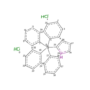 Cl.Cl.c1cc[c]([Ti]([c]2ccccc2)([c]2ccccc2)([c]2ccccc2)[c]2ccc[pH]2)cc1